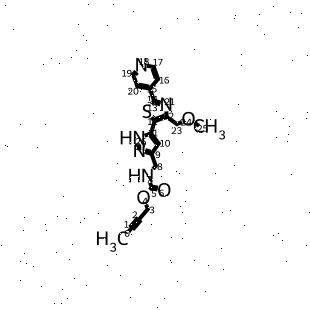 CC#CCOC(=O)NCc1cc(-c2sc(-c3ccncc3)nc2COC)[nH]n1